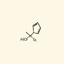 CCC(C)(O)C1C=CC=C1